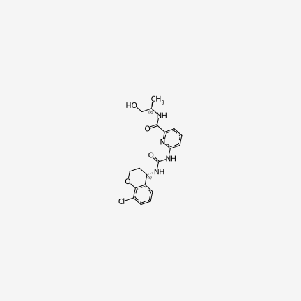 C[C@H](CO)NC(=O)c1cccc(NC(=O)N[C@H]2CCOc3c(Cl)cccc32)n1